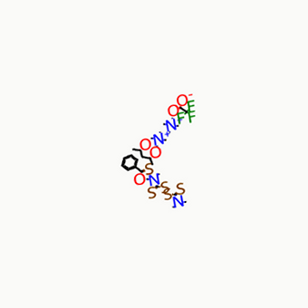 CC(=O)CC(C)=O.CN(C)C(=S)SSC(=S)N(C)C.C[N+](C)(C)C.C[N+](C)(C)C.O=C([O-])C(F)(F)F.[O-]C(=S)c1ccccc1